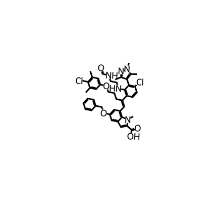 Cc1cc(OCCC/C(=C\c2cc(OCc3ccccc3)cc3cc(C(=O)O)n(C)c23)c2ccc(Cl)c(-c3c(C)nn(C)c3C)c2NCCNC=O)cc(C)c1Cl